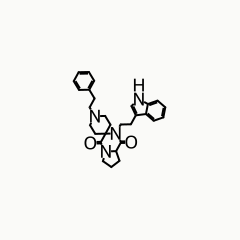 O=C1C2CCCN2C(=O)C2(CCN(CCc3ccccc3)CC2)N1CCc1c[nH]c2ccccc12